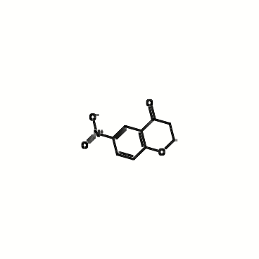 O=C1C[CH]Oc2ccc([N+](=O)[O-])cc21